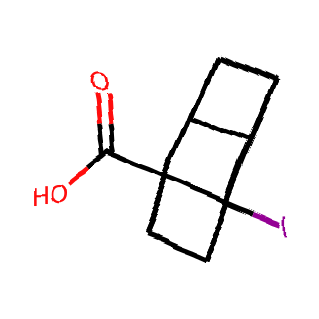 O=C(O)C12C3C4C5C3C1(I)C5C42